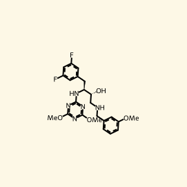 COc1cccc(CNC[C@@H](O)[C@H](Cc2cc(F)cc(F)c2)Nc2nc(OC)nc(OC)n2)c1